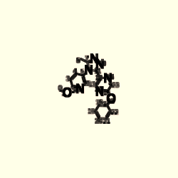 COc1ccc(-n2c(C)nnc2-c2cnc(Oc3ccccc3)cn2)cn1